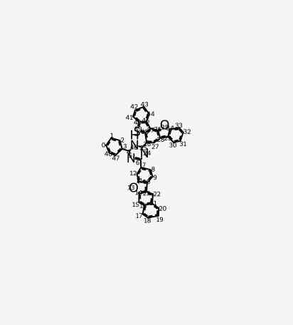 c1ccc(C2N=C(c3ccc4c(c3)oc3cc5ccccc5cc34)N=C(c3cc4c5ccccc5oc4c4c3sc3ccccc34)N2)cc1